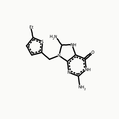 CCc1ccc(CN2c3nc(N)[nH]c(=O)c3NC2N)s1